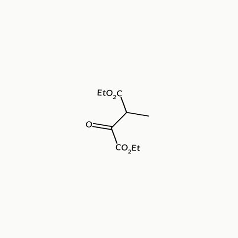 CCOC(=O)C(=O)C(C)C(=O)OCC